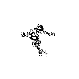 COCCCS(=O)(=O)c1ccc(/C(=N\O[C@@H]2CCOC2)C(=O)Nc2nc3c(OCCO)ccnc3s2)cc1